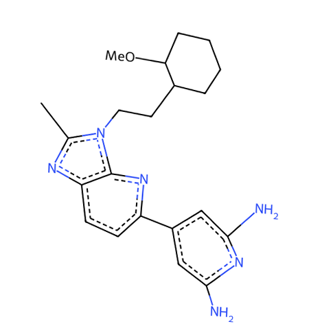 COC1CCCCC1CCn1c(C)nc2ccc(-c3cc(N)nc(N)c3)nc21